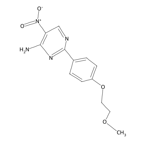 COCCOc1ccc(-c2ncc([N+](=O)[O-])c(N)n2)cc1